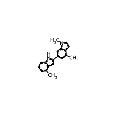 Cc1cccc2[nH]c(-c3cc(C)c4ccn(C)c4c3)cc12